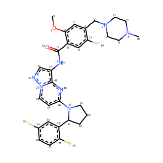 COc1cc(CN2CCN(C)CC2)c(F)cc1C(=O)Nc1cnn2ccc(N3CCCC3c3cc(F)ccc3F)nc12